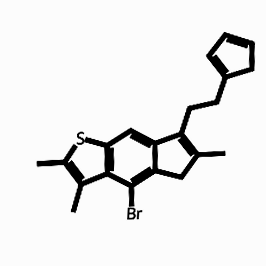 CC1=C(CCC2=CC=CC2)c2cc3sc(C)c(C)c3c(Br)c2C1